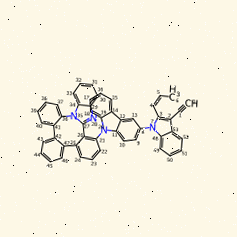 C#Cc1c(/C=C\C)n(-c2ccc3c(c2)c2ccccc2n3-c2cccc3c2-c2nc4ccccc4n2-c2ccccc2-c2ccccc2-3)c2ccccc12